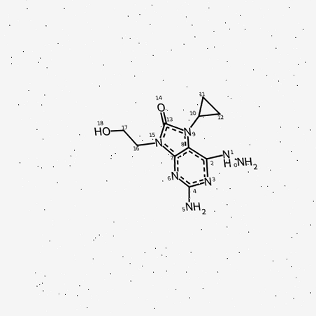 NNc1nc(N)nc2c1n(C1CC1)c(=O)n2CCO